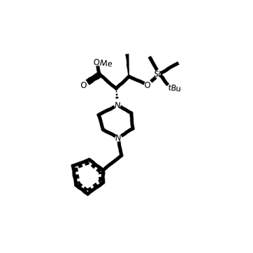 COC(=O)[C@H]([C@@H](C)O[Si](C)(C)C(C)(C)C)N1CCN(Cc2ccccc2)CC1